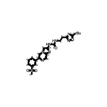 CC(C)(C)c1nc(CCNC(=O)Nc2cn3cc(-c4cccc(S(C)(=O)=O)c4)ncc3n2)no1